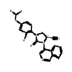 N#C[C@@H]1CN(c2ccc(OC(F)F)cc2F)C(=O)N1c1cncc2ccccc12